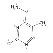 Cc1cnc(Cl)nc1CN